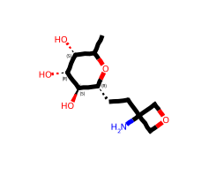 CC1O[C@H](CCC2(N)COC2)[C@@H](O)[C@H](O)[C@@H]1O